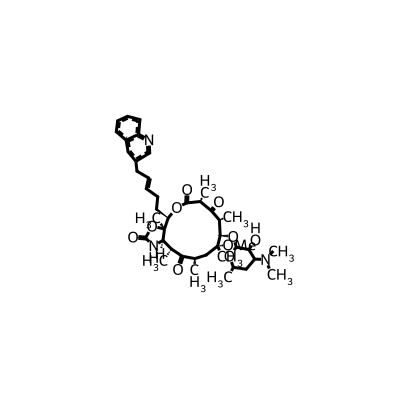 CO[C@]1(C)C[C@@H](C)C(=O)[C@H](C)[C@H]2NC(=O)O[C@]2(C)[C@@H](CC/C=C/Cc2cnc3ccccc3c2)OC(=O)[C@H](C)C(=O)[C@H](C)[C@H]1OC1OC(C)CC(N(C)C)C1O